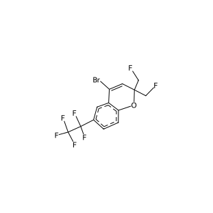 FCC1(CF)C=C(Br)c2cc(C(F)(F)C(F)(F)F)ccc2O1